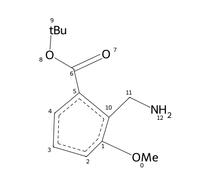 COc1cccc(C(=O)OC(C)(C)C)c1CN